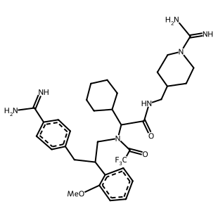 COc1ccccc1C(Cc1ccc(C(=N)N)cc1)CN(C(=O)C(F)(F)F)C(C(=O)NCC1CCN(C(=N)N)CC1)C1CCCCC1